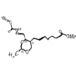 COC(=O)CCCC=CC[C@H]1CO[C@@H](C)O[C@H]1C=NNC(=O)OC(C)(C)C